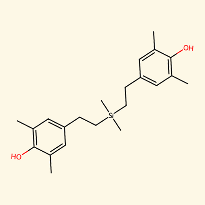 Cc1cc(CC[Si](C)(C)CCc2cc(C)c(O)c(C)c2)cc(C)c1O